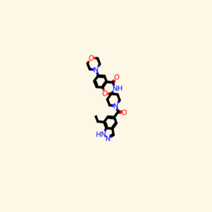 CCc1cc(C(=O)N2CCC3(CC2)NC(=O)c2cc(N4CCOCC4)ccc2O3)cc2cn[nH]c12